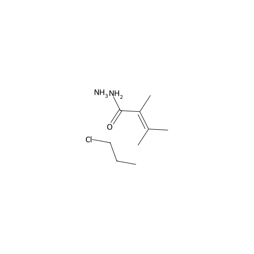 CC(C)=C(C)C(N)=O.CCCCl.N